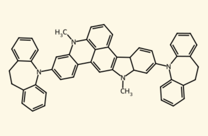 CN1c2cc(N3c4ccccc4CCc4ccccc43)ccc2-c2cc3c(c4cccc1c24)C1C=CC(N2c4ccccc4CCc4ccccc42)=CC1N3C